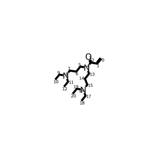 C=CC(=O)N(CCCN(CC)CC)CCCN(CC)CC